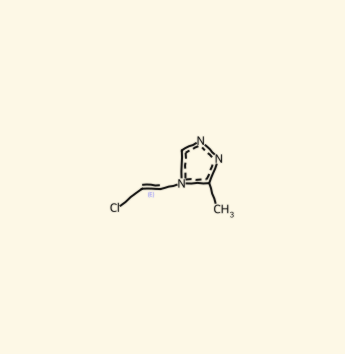 Cc1nncn1/C=C/Cl